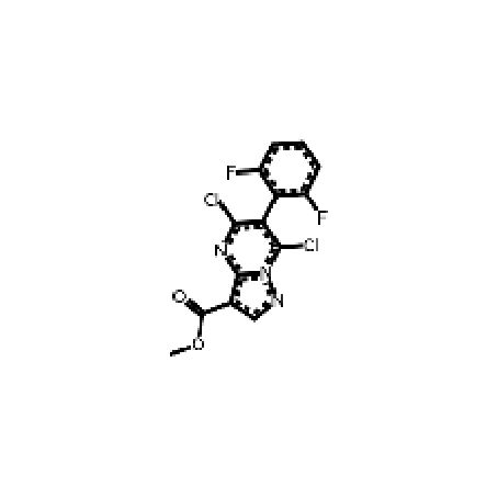 COC(=O)c1cnn2c(Cl)c(-c3c(F)cccc3F)c(Cl)nc12